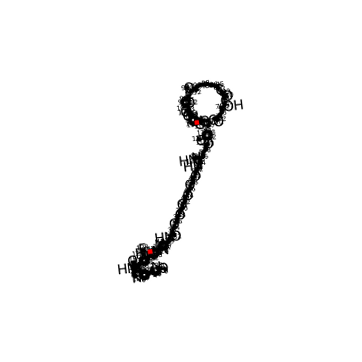 COc1ccc(-c2ccc3ncc4[nH]c(=O)n(-c5ccc(N6CCN(c7ncc(CNC(=O)CCOCCOCCOCCOCCOCCOCCN/C=C(/CCCCO[C@@H]8CC[C@@H](CC[C@@H]9CC(=O)[C@H](C)/C=C(\C)[C@@H](O)CC(=O)[C@H](C)C[C@H](C)/C=C/C=C/C=C(\C)[C@@H](OC)CC%10CCCC(O%10)C(=O)C(=O)N%10CCCC[C@H]%10C(=O)O9)C[C@H]8OC)N=N)cn7)CC6)c(C(F)(F)F)c5)c4c3c2)cn1